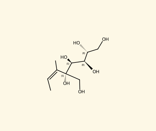 CC=C(C)[C@](O)(CO)[C@@H](O)[C@H](O)[C@H](O)CO